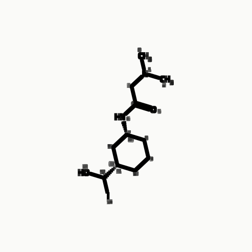 CN(C)CC(=O)N[C@@H]1CCC[C@H](C(O)I)C1